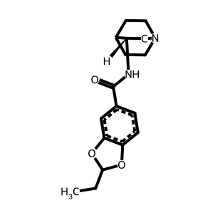 CCC1Oc2ccc(C(=O)N[C@H]3CN4CCC3CC4)cc2O1